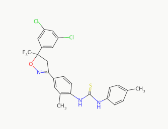 Cc1ccc(NC(=S)Nc2ccc(C3=NOC(c4cc(Cl)cc(Cl)c4)(C(F)(F)F)C3)cc2C)cc1